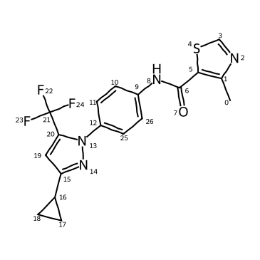 Cc1ncsc1C(=O)Nc1ccc(-n2nc(C3CC3)cc2C(F)(F)F)cc1